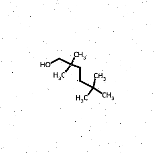 CC(C)(C)[CH]CC(C)(C)CO